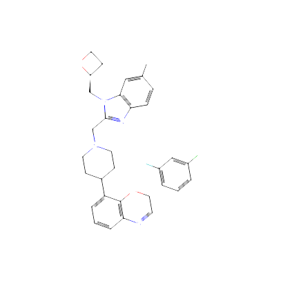 O=C(O)c1ccc2nc(CN3CCC(c4cccc5c4O[C@H](c4ccc(Cl)cc4F)C=N5)CC3)n(C[C@@H]3CCO3)c2c1